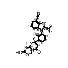 CN1C(=O)C[C@@](C)(c2cccc(-n3c(N(C)C)nc4c(C#N)cccc43)c2F)N/C1=N/C(=O)O